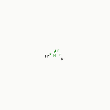 F.F.[F-].[F-].[H+].[K+]